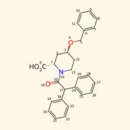 O=C(O)[C@@H]1C[C@@H](OCc2ccccc2)CCN1C(=O)C(c1ccccc1)c1ccccc1